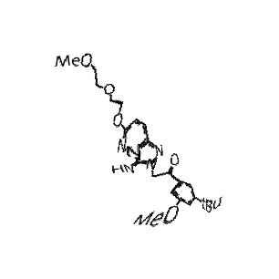 COCCOCCOc1ccc2nn(CC(=O)c3cc(OC)cc(C(C)(C)C)c3)c(=N)n2n1